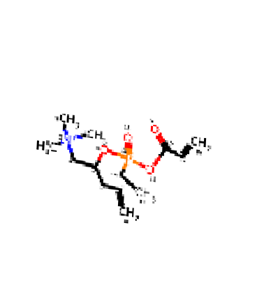 C=CCC(C[N+](C)(C)C)OP(=O)(CC)OC(=O)C=C